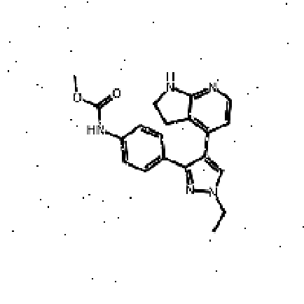 CCn1cc(-c2ccnc3c2CCN3)c(-c2ccc(NC(=O)OC)cc2)n1